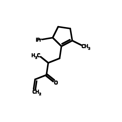 C=CC(=O)C(C)CC1=C(C)CCC1C(C)C